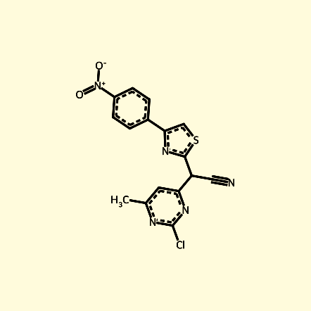 Cc1cc(C(C#N)c2nc(-c3ccc([N+](=O)[O-])cc3)cs2)nc(Cl)n1